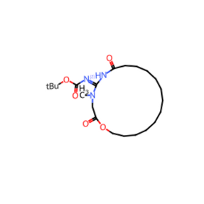 CN1CC(=O)OCCCCCCCCCCCCC(=O)N/C1=N/C(=O)OC(C)(C)C